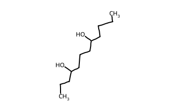 CCCCC(O)CCCC(O)CCC